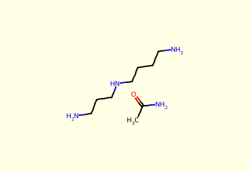 CC(N)=O.NCCCCNCCCN